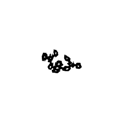 c1ccc(-c2cc(-c3cccc(-c4c5ccccc5c(-c5cccc(-c6cc(-c7ccccc7)nc(-c7ccccc7)c6)c5)c5ccccc45)c3)cc(-c3ccccc3)n2)cc1